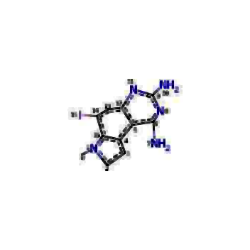 Cn1ccc2c3c(N)nc(N)nc3cc(I)c21